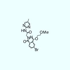 COCCOc1nn(CC(=O)Nc2ncc(C)cn2)c(=O)c2ccc(Br)cc12